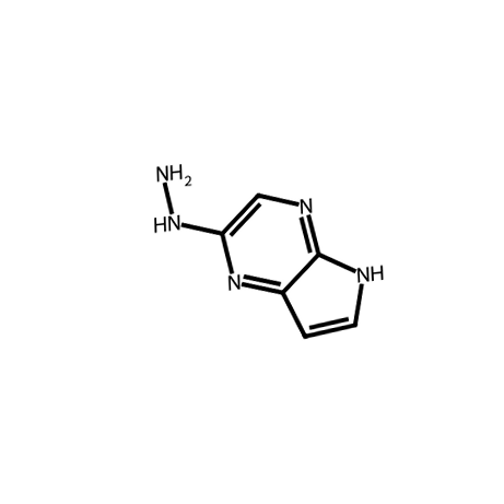 NNc1cnc2[nH]ccc2n1